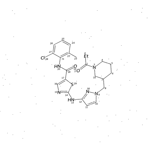 CCC(=O)N1CCCC(Cn2ccc(Nc3ncc(C(=O)Nc4c(C)cccc4Cl)s3)n2)C1